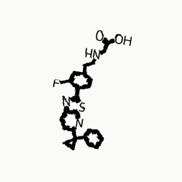 O=C(O)CNCCc1ccc(-c2nc3ccc(C4(c5ccccc5)CC4)nc3s2)c(F)c1